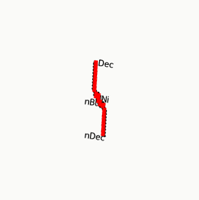 CCCCCCCCCCCCCCCCCCCCCCCCCCCC#Cc1ccc(N=CC(CCCC)=Nc2ccc(C#CCCCCCCCCCCCCCCCCCCCCCCCCCCC)cc2)cc1.[Ni]